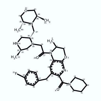 CC1COc2nc(C(=O)N3CCCCC3)c(Cc3ccc(F)cc3)cc2N1C(=O)CN1C[C@@H](C)NC[C@@H]1CN1[C@H](C)COC[C@H]1C